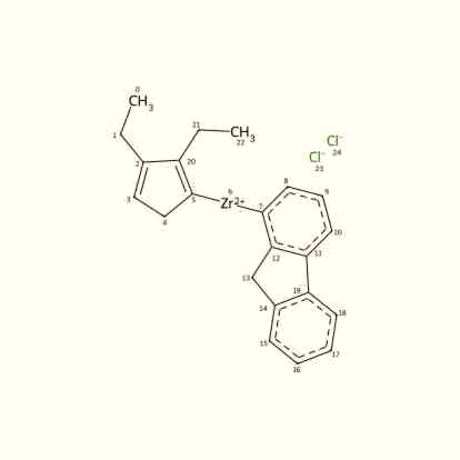 CCC1=CC[C]([Zr+2][c]2cccc3c2Cc2ccccc2-3)=C1CC.[Cl-].[Cl-]